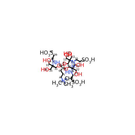 C[N+](C)(C)CCC[Si](OCC(CO)(CO)NCCS(=O)(=O)O)(OCC(CO)(CO)NCCS(=O)(=O)O)OCC(CO)(CO)NCCS(=O)(=O)O